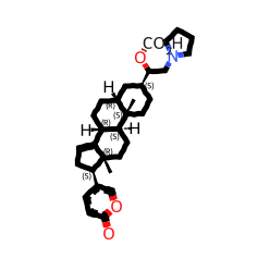 C[C@]12CC[C@H](C(CN3CCCC3)OC(=O)O)C[C@H]1CC[C@H]1C3=CC[C@H](c4ccc(=O)oc4)[C@@]3(C)CC[C@@H]12